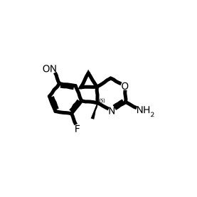 C[C@]1(c2cc(N=O)ccc2F)N=C(N)OCC12CC2